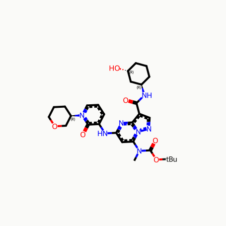 CN(C(=O)OC(C)(C)C)c1cc(Nc2cccn([C@@H]3CCCOC3)c2=O)nc2c(C(=O)N[C@@H]3CCC[C@@H](O)C3)cnn12